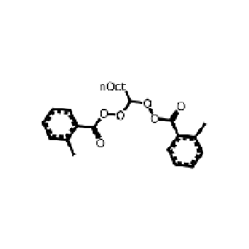 [CH2]CCCCCCC[C](OOC(=O)c1ccccc1C)OOC(=O)c1ccccc1C